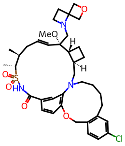 CO[C@@]1(CN2CCC23COC3)/C=C/C[C@H](C)[C@@H](C)S(=O)(=O)NC(=O)c2ccc3c(c2)N(CCCCc2cc(Cl)ccc2CO3)C[C@@H]2CC[C@H]21